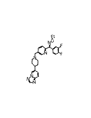 CCO/N=C(\c1ccc(F)c(F)c1)c1ccc(CN2CCC(c3ccc4ncnn4c3)CC2)cn1